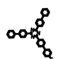 Fc1ccc(-c2ccc(-c3nc(-c4ccc(-c5ccccc5)cc4)nc(-c4ccc(-c5ccccc5)cc4)n3)cc2)cc1